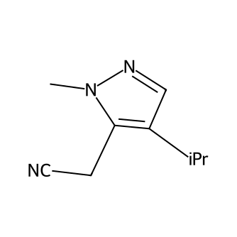 CC(C)c1cnn(C)c1CC#N